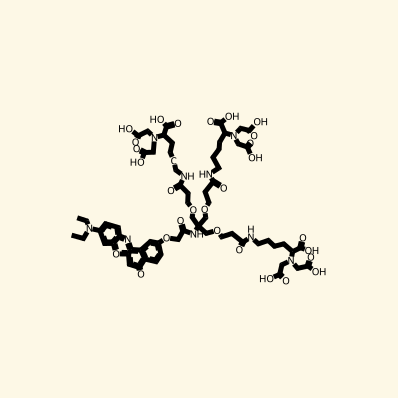 CCN(CC)c1ccc2nc3c4cc(OCC(=O)NC(COCCC(=O)NCCCCC(C(=O)O)N(CC(=O)O)CC(=O)O)(COCCC(=O)NCCCCC(C(=O)O)N(CC(=O)O)CC(=O)O)COCCC(=O)NCCCCC(C(=O)O)N(CC(=O)O)CC(=O)O)ccc4c(=O)cc-3oc2c1